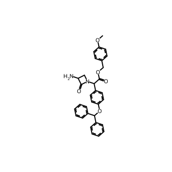 COc1ccc(COC(=O)C(c2ccc(OC(c3ccccc3)c3ccccc3)cc2)N2CC(N)C2=O)cc1